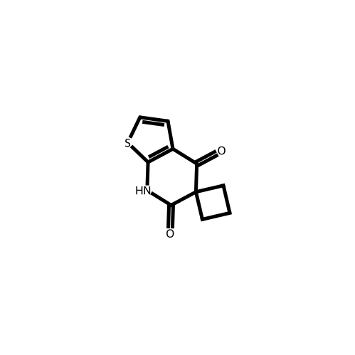 O=C1Nc2sccc2C(=O)C12CCC2